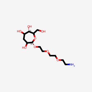 NCCOCCOCCO[C@H]1OC(CO)[C@@H](O)C(O)CC1O